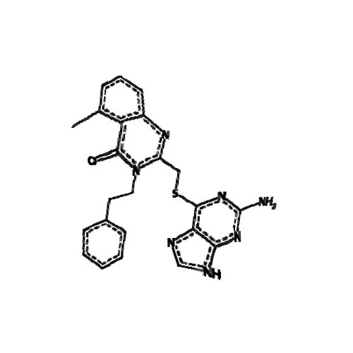 Cc1cccc2nc(CSc3nc(N)nc4[nH]cnc34)n(CCc3ccccc3)c(=O)c12